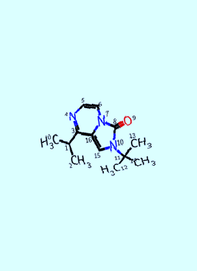 CC(C)c1nccn2c(=O)n(C(C)(C)C)cc12